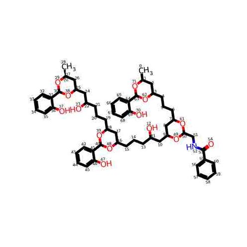 CC1CC(CCCC2CC(CC(O)CCCC3CC(CCCC(O)CC4C[C@H](C)OC(c5ccccc5O)O4)OC(c4ccccc4O)O3)OC(CNC(=O)c3ccccc3)O2)OC(c2ccccc2O)O1